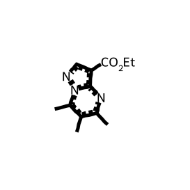 CCOC(=O)c1cnn2c(C)c(C)c(C)nc12